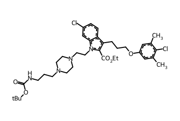 CCOC(=O)c1c(CCCOc2cc(C)c(Cl)c(C)c2)c2ccc(Cl)cc2n1CCN1CCN(CCCNC(=O)OC(C)(C)C)CC1